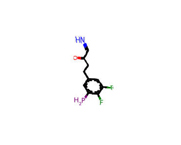 N=CC(=O)CCc1cc(F)c(F)c(P)c1